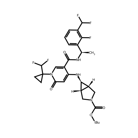 C[C@@H](NC(=O)c1cn(C2(C(F)F)CC2)c(=O)cc1N[C@H]1[C@@H]2CN(C(=O)OC(C)(C)C)C[C@@H]21)c1cccc(C(F)F)c1F